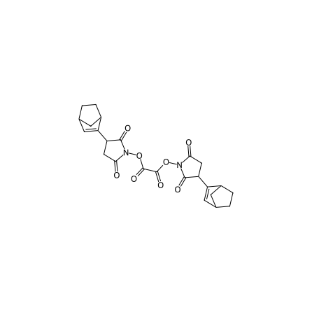 O=C(ON1C(=O)CC(C2=CC3CCC2C3)C1=O)C(=O)ON1C(=O)CC(C2=CC3CCC2C3)C1=O